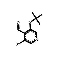 CC(C)(C)Sc1cncc(Br)c1C=O